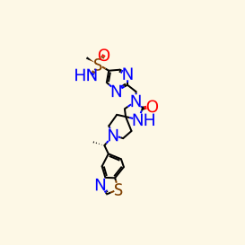 C[C@@H](c1ccc2scnc2c1)N1CCC2(CC1)CN(Cc1ncc([S@](C)(=N)=O)cn1)C(=O)N2